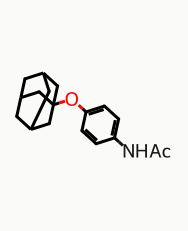 CC(=O)Nc1ccc(OC23CC4CC(CC(C4)C2)C3)cc1